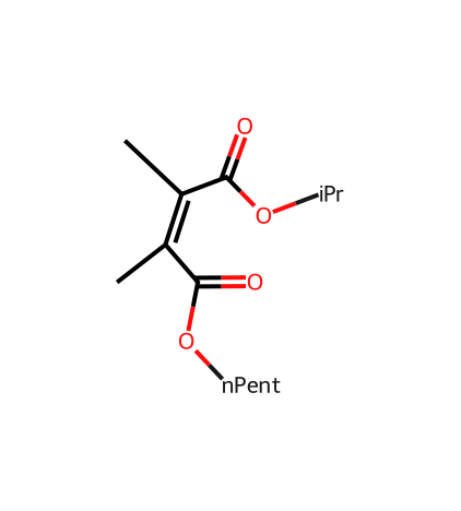 CCCCCOC(=O)/C(C)=C(/C)C(=O)OC(C)C